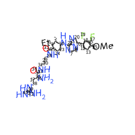 CCc1cc(Nc2nccn3c(-c4ccc(OC)c(F)c4F)cnc23)ccc1C(=O)NCCCNC(=O)C(N)CCNC(=N)N